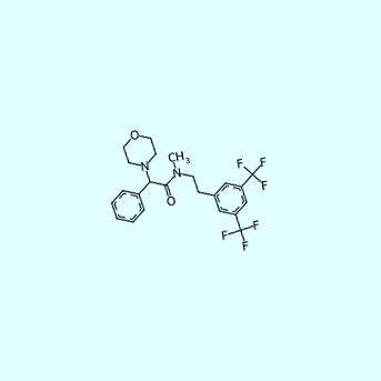 CN(CCc1cc(C(F)(F)F)cc(C(F)(F)F)c1)C(=O)C(c1ccccc1)N1CCOCC1